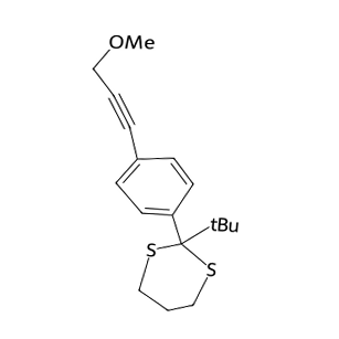 COCC#Cc1ccc(C2(C(C)(C)C)SCCCS2)cc1